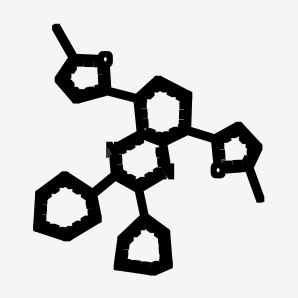 Cc1ccc(-c2ccc(-c3ccc(C)o3)c3nc(-c4ccccc4)c(-c4ccccc4)nc23)o1